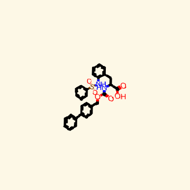 O=C(NC(Cc1ccccc1NS(=O)(=O)c1ccccc1)C(=O)O)OCc1ccc(-c2ccccc2)cc1